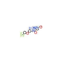 COCc1ccc(C(=O)NCc2cccc(Oc3cccc(C(F)(F)F)c3)c2)c(N)n1